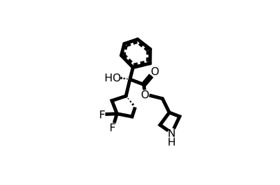 O=C(OCC1CNC1)[C@](O)(c1ccccc1)[C@@H]1CCC(F)(F)C1